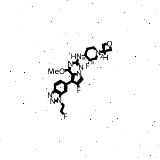 [2H]C1(N2CC[C@@H](Nc3nc(OC)c4c(-c5ccc6nnn(CCF)c6c5)c(F)cn4n3)[C@@H](F)C2)COC1